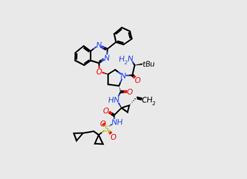 C=C[C@@H]1C[C@]1(NC(=O)[C@@H]1C[C@@H](Oc2nc(-c3ccccc3)nc3ccccc23)CN1C(=O)[C@@H](N)C(C)(C)C)C(=O)NS(=O)(=O)C1(CC2CC2)CC1